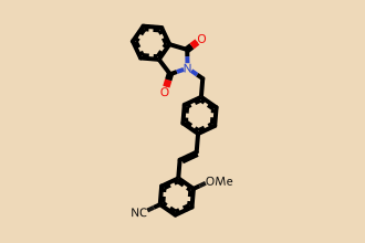 COc1ccc(C#N)cc1C=Cc1ccc(CN2C(=O)c3ccccc3C2=O)cc1